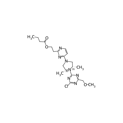 CCCC(=O)OCCc1nccc(N2C[C@@H](C)N(c3nc(Cl)nc(COC)n3)[C@@H](C)C2)n1